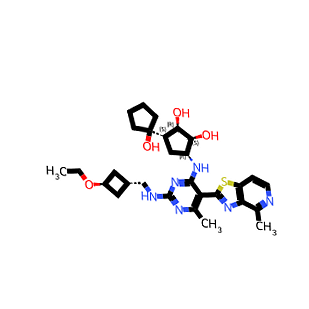 CCO[C@H]1C[C@H](CNc2nc(C)c(-c3nc4c(C)nccc4s3)c(N[C@@H]3C[C@H](C4(O)CCCC4)[C@@H](O)[C@H]3O)n2)C1